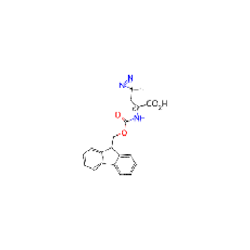 CC1(C[C@H](NC(=O)OCC2c3ccccc3-c3ccccc32)C(=O)O)N=N1